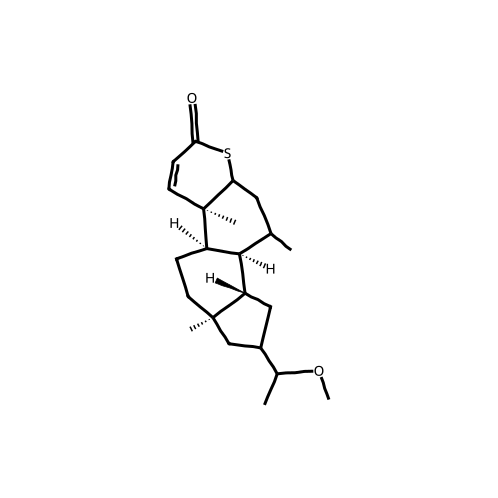 COC(C)C1C[C@H]2[C@@H]3C(C)CC4SC(=O)C=C[C@]4(C)[C@@H]3CC[C@]2(C)C1